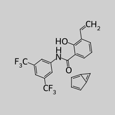 C=Cc1cccc(C(=O)Nc2cc(C(F)(F)F)cc(C(F)(F)F)c2)c1O.c1cc2cc-2c1